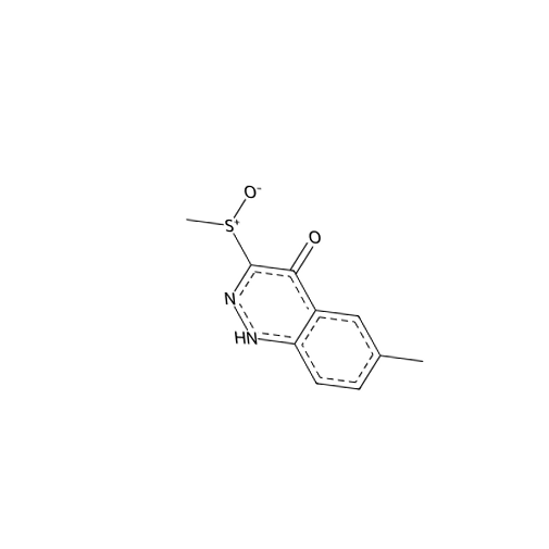 Cc1ccc2[nH]nc([S+](C)[O-])c(=O)c2c1